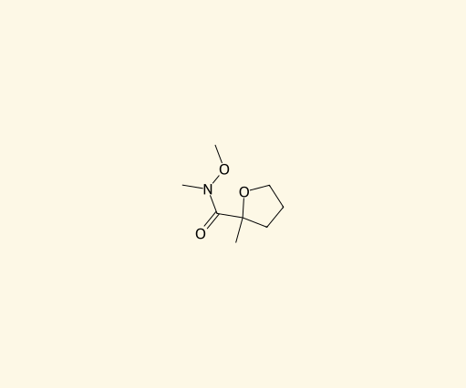 CON(C)C(=O)C1(C)CCCO1